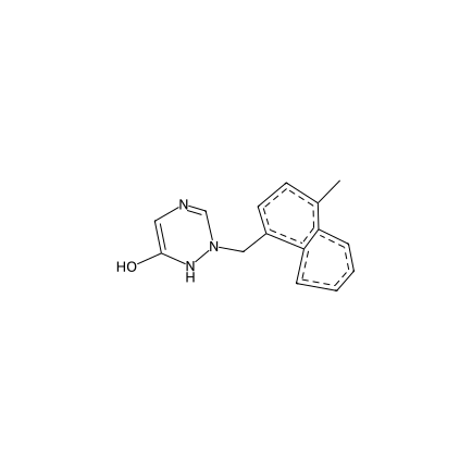 Cc1ccc(CN2C=NC=C(O)N2)c2ccccc12